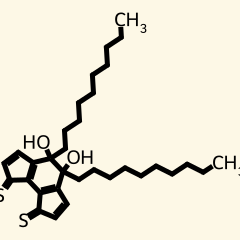 CCCCCCCCCCC1(O)C2=C(C(=S)C=C2)C2=C(C=CC2=S)C1(O)CCCCCCCCCC